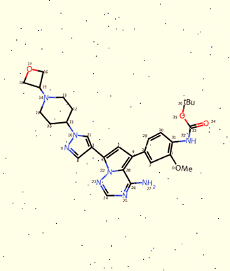 COc1cc(-c2cc(-c3cnn(C4CCN(C5COC5)CC4)c3)n3ncnc(N)c23)ccc1NC(=O)OC(C)(C)C